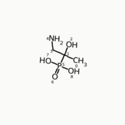 CC(O)(CN)P(=O)(O)O